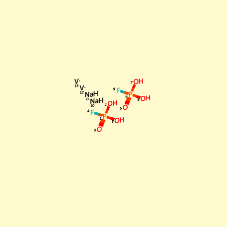 O=P(O)(O)F.O=P(O)(O)F.[NaH].[NaH].[V].[V]